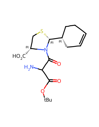 CC(C)(C)OC(=O)C(N)C(=O)N1[C@@H]([C@H]2CC=CCC2)SC[C@H]1C(=O)O